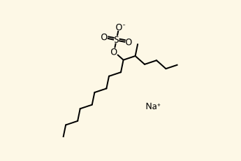 CCCCCCCCCC(OS(=O)(=O)[O-])C(C)CCCC.[Na+]